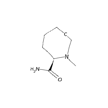 CN1CCCCC[C@@H]1C(N)=O